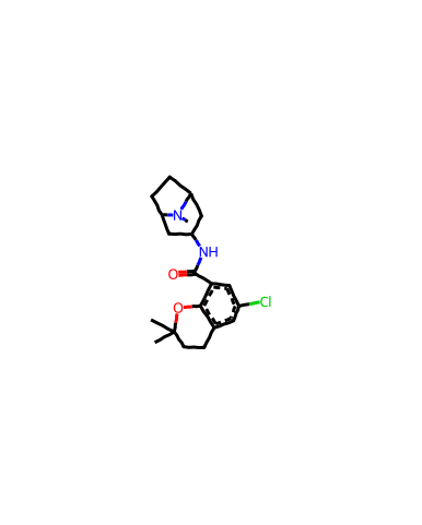 CN1C2CCC1CC(NC(=O)c1cc(Cl)cc3c1OC(C)(C)CC3)C2